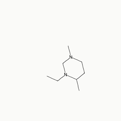 CCN1CN(C)CCC1C